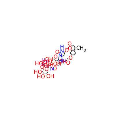 Cc1cc(=O)oc2cc(OCC(=O)NCCCCON=C[C@H]3OC(O[PH](O)(O)O[PH](O)(O)OCC4OC(n5ccc(=O)[nH]c5=O)C(O)[C@H]4O)[C@H](O)[C@@H](O)[C@H]3O)ccc12